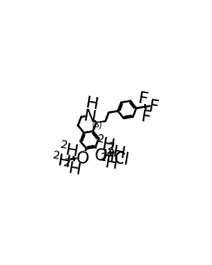 Cl.[2H]C([2H])([2H])Oc1cc2c(cc1OC([2H])([2H])[2H])[C@H](CCc1ccc(C(F)(F)F)cc1)NCC2